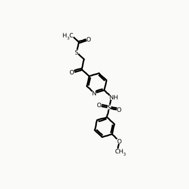 COc1cccc(S(=O)(=O)Nc2ccc(C(=O)CSC(C)=O)cn2)c1